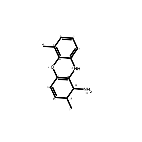 Cc1cccc2c1OC1=C(N2)C(N)C(C)C=C1